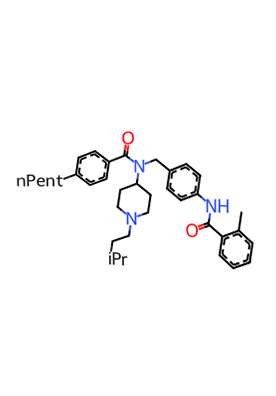 CCCCCc1ccc(C(=O)N(Cc2ccc(NC(=O)c3ccccc3C)cc2)C2CCN(CCC(C)C)CC2)cc1